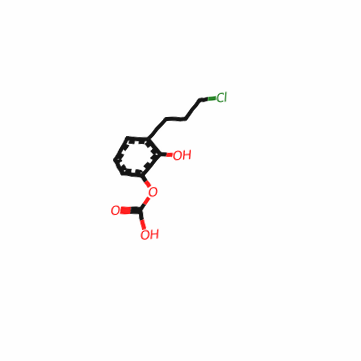 O=C(O)Oc1cccc(CCCCl)c1O